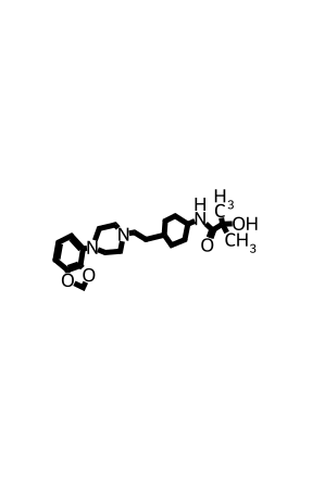 CC(C)(O)C(=O)NC1CCC(CCN2CCN(c3cccc4c3OCO4)CC2)CC1